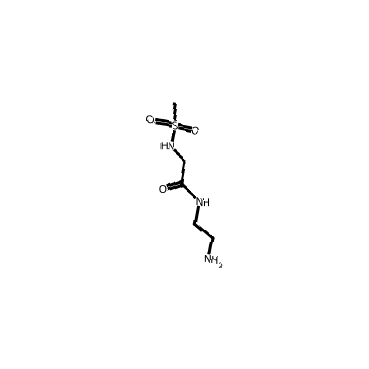 CS(=O)(=O)NCC(=O)NCCN